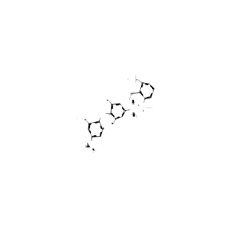 O=[N+]([O-])c1ccc(Oc2c(Cl)cc(S(=O)(=O)Nc3cccc(Cl)c3Cl)cc2Cl)c(Cl)c1